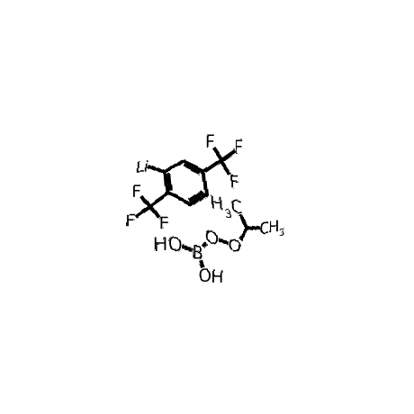 CC(C)OOB(O)O.[Li][c]1cc(C(F)(F)F)ccc1C(F)(F)F